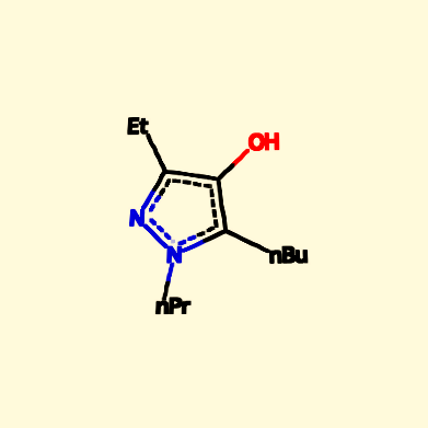 CCCCc1c(O)c(CC)nn1CCC